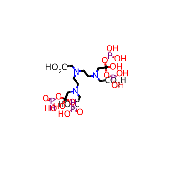 O=C(O)CN(CCN(CC(=O)O)CC(O)(OP(O)O)OP(O)O)CCN(CC(=O)O)CC(O)(O[PH](=O)O)O[PH](=O)O